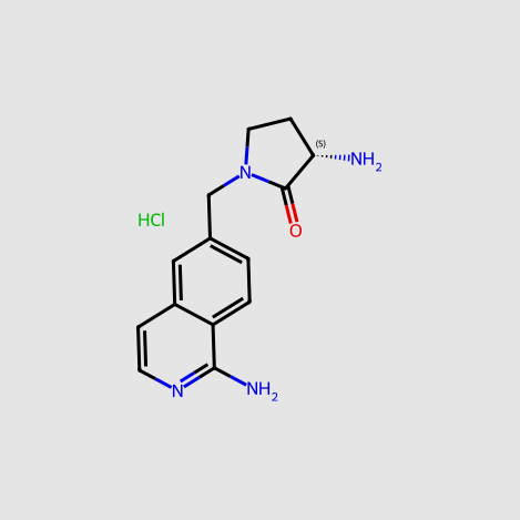 Cl.Nc1nccc2cc(CN3CC[C@H](N)C3=O)ccc12